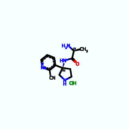 C[C@H](N)C(=O)N[C@]1(c2cccnc2C#N)CCNC1.Cl